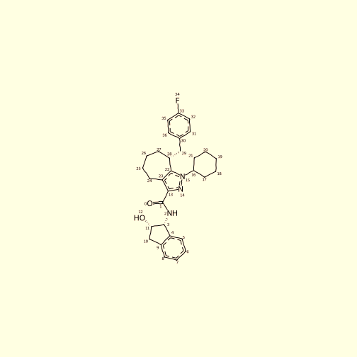 O=C(N[C@@H]1c2ccccc2C[C@@H]1O)c1nn(C2CCCCC2)c2c1CCCC[C@@H]2Cc1ccc(F)cc1